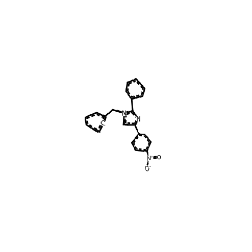 O=[N+]([O-])c1ccc(-c2cn(Cc3ccccc3)c(-c3ccccc3)n2)cc1